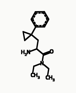 CCN(CC)C(=O)C(N)CC1(c2ccccc2)CC1